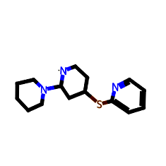 c1ccc(SC2CC[N]C(N3CCCCC3)C2)nc1